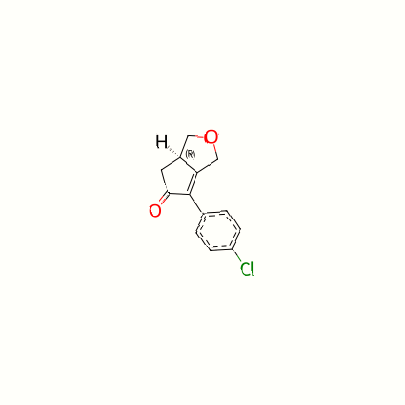 O=C1C[C@H]2COCC2=C1c1ccc(Cl)cc1